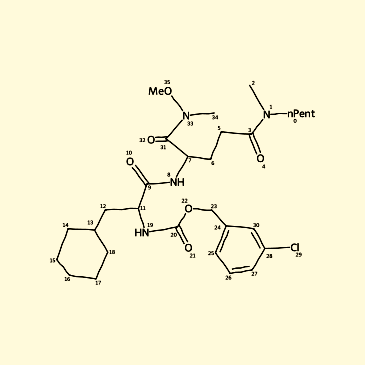 CCCCCN(C)C(=O)CCC(NC(=O)C(CC1CCCCC1)NC(=O)OCc1cccc(Cl)c1)C(=O)N(C)OC